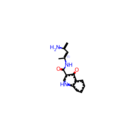 C=C(N)/C=C(\C)NC(=O)c1c[nH]c2ccccc2c1=O